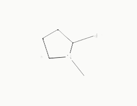 CC(C)C1CC[C@@H](C)N1C